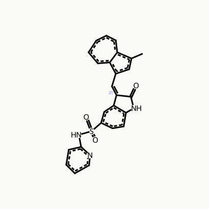 Cc1cc(/C=C2\C(=O)Nc3ccc(S(=O)(=O)Nc4ccccn4)cc32)c2cccccc1-2